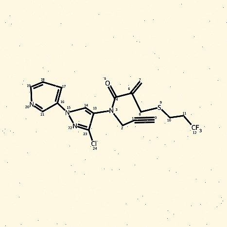 C#CCN(C(=O)C(=C)CSCCC(F)(F)F)c1cn(-c2cccnc2)nc1Cl